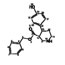 O=C(OCc1ccccc1)C1CNCCC1c1ccc(O)cc1